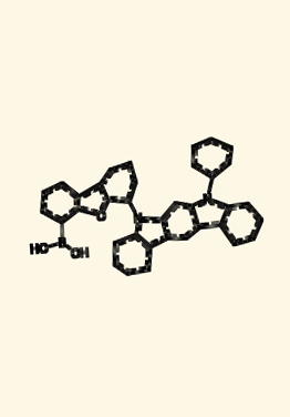 OB(O)c1cccc2c1oc1c(-n3c4ccccc4c4cc5c6ccccc6n(-c6ccccc6)c5cc43)cccc12